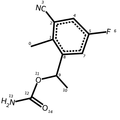 Cc1c(C#N)cc(F)cc1C(C)OC(N)=O